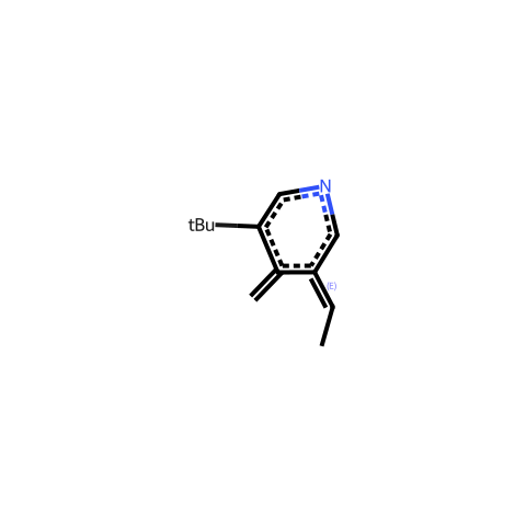 C=c1c(C(C)(C)C)cnc/c1=C/C